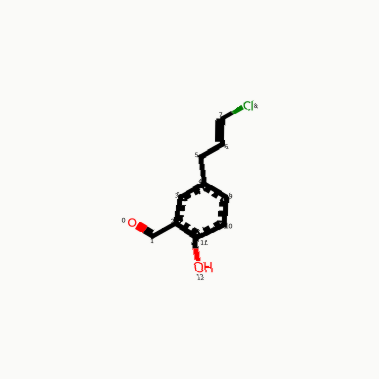 O=Cc1cc(CC=CCl)ccc1O